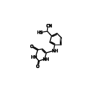 N#CC(S)c1cccc(Nc2cc(=O)[nH]c(=O)[nH]2)c1